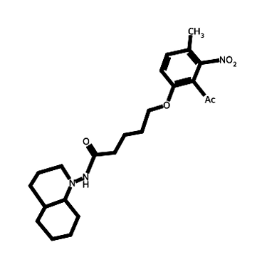 CC(=O)c1c(OCCCCC(=O)NN2CCCC3CCCCC32)ccc(C)c1[N+](=O)[O-]